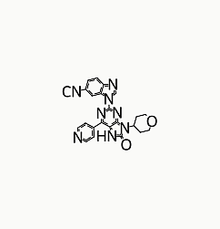 [C-]#[N+]c1ccc2ncn(-c3nc(-c4ccncc4)c4[nH]c(=O)n(C5CCOCC5)c4n3)c2c1